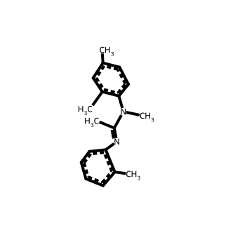 C/C(=N\c1ccccc1C)N(C)c1ccc(C)cc1C